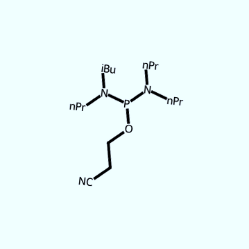 CCCN(CCC)P(OCCC#N)N(CCC)C(C)CC